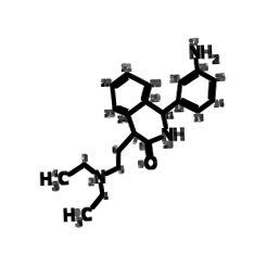 CCN(CC)CCC1C(=O)NC(c2cccc(N)c2)c2ccccc21